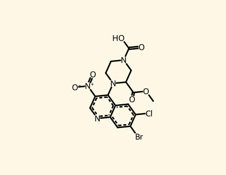 COC(=O)C1CN(C(=O)O)CCN1c1c([N+](=O)[O-])cnc2cc(Br)c(Cl)cc12